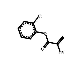 C=C(CCC)C(=O)Oc1ccccc1CC